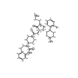 CC(C)N1CCC(c2c(F)cccc2[C@@H]2S[C@@H](CC(=O)N3CCC(N4CCc5ccccc5NC4=O)CC3)C(=O)N2CCC(C)(C)C)CC1